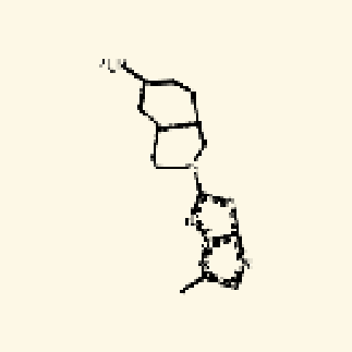 Cc1cnc2sc(N3CC4CCC(N)CC4C3)nn12